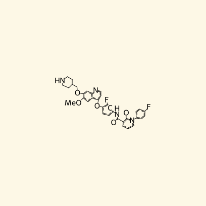 COc1cc2c(Oc3ccc(NC(=O)c4cccn(-c5ccc(F)cc5)c4=O)cc3F)ccnc2cc1OCC1CCNCC1